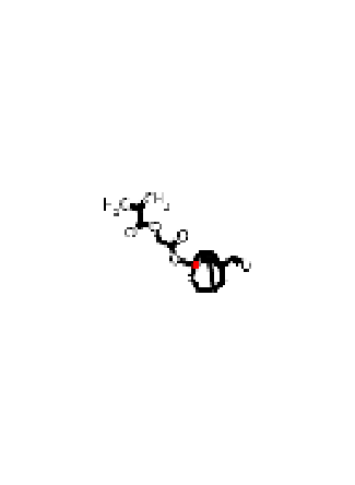 C=C(C)C(=O)OCC(=O)OC1C2CC3CC1OCC(C=O)(C3)C2